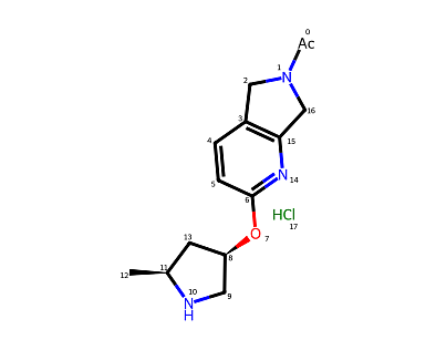 CC(=O)N1Cc2ccc(O[C@H]3CN[C@@H](C)C3)nc2C1.Cl